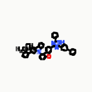 CC1(C)c2ccccc2-c2cc3c(cc21)c1ccccc1n3-c1cccc2oc3cc(C4=NC(c5ccc(-c6ccccc6)cc5)NC(c5ccccc5)=N4)ccc3c12